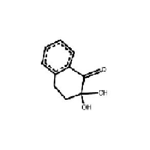 O=C1c2ccccc2CCC1(O)O